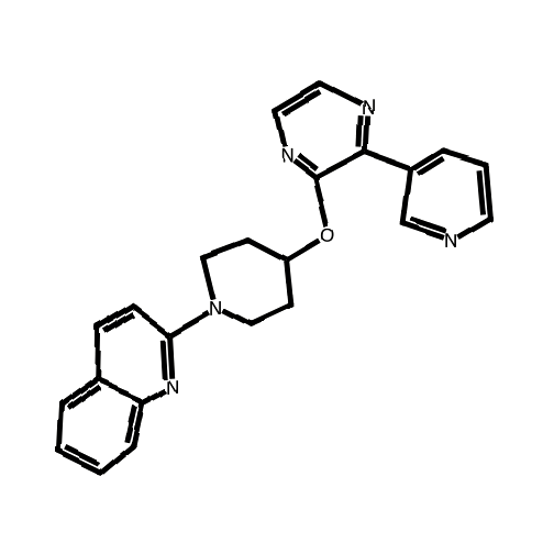 c1cncc(-c2nccnc2OC2CCN(c3ccc4ccccc4n3)CC2)c1